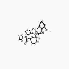 Cc1cccc(C)c1NC(=O)C[N+]1(Cc2ccccc2)CCCC(C(=O)OC2CCCC2)C1